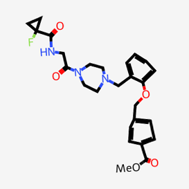 COC(=O)c1ccc(COc2ccccc2CN2CCN(C(=O)CNC(=O)C3(F)CC3)CC2)cc1